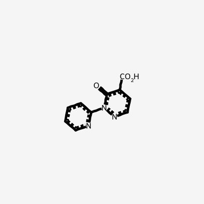 O=C(O)c1ccnn(-c2ccccn2)c1=O